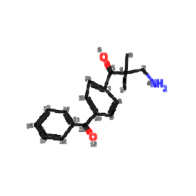 CC(C)(CN)C(=O)c1ccc(C(=O)C2=CC=C=C=C2)cc1